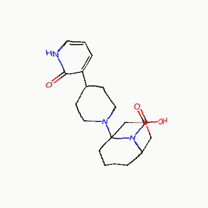 O=C(O)N1C2CCCC1(N1CCC(c3ccc[nH]c3=O)CC1)COC2